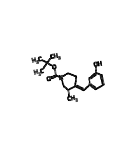 CC1CN(C(=O)OC(C)(C)C)CC/C1=C\c1cccc(O)c1